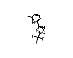 Cc1cccc(-c2noc(C(F)(F)F)n2)n1